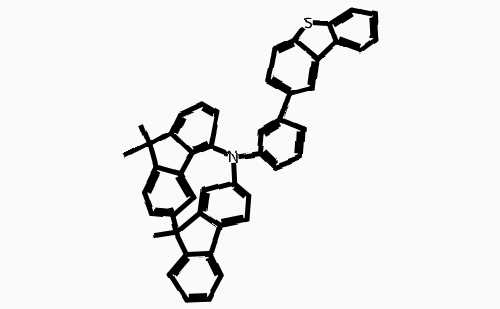 CC1(C)c2ccccc2-c2ccc(N(c3cccc(-c4ccc5sc6ccccc6c5c4)c3)c3cccc4c3-c3ccccc3C4(C)C)cc21